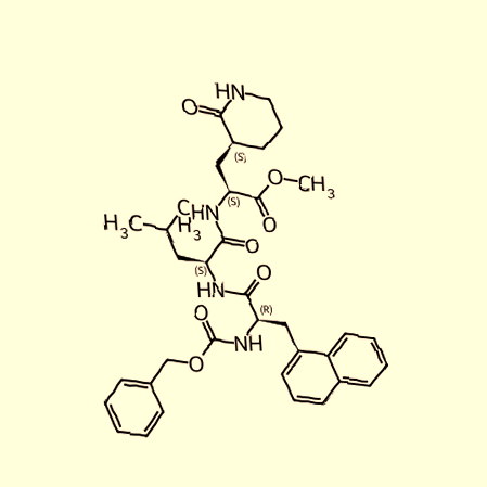 COC(=O)[C@H](C[C@@H]1CCCNC1=O)NC(=O)[C@H](CC(C)C)NC(=O)[C@@H](Cc1cccc2ccccc12)NC(=O)OCc1ccccc1